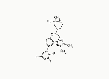 CN1OC2(CC(C3CCOC(C)(C)C3)Oc3ccc(-c4cc(F)cc(F)c4F)cc32)N=C1N